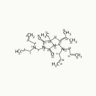 C=CCN(CC=C)CN1C(=O)N(CN(CC=C)CC=C)C(C)(CC=C(C)C)C1=O